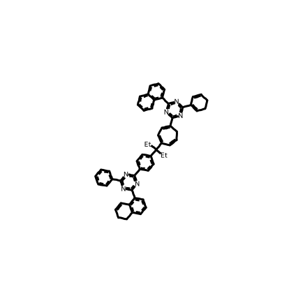 CCC(CC)(C1=CC=C(c2nc(C3=CCCC=C3)nc(-c3cccc4ccccc34)n2)CC=C1)c1ccc(-c2nc(-c3ccccc3)nc(-c3cccc4c3C=CCC4)n2)cc1